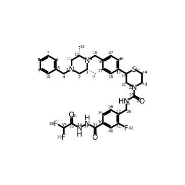 C[C@@H]1CN(Cc2ccccc2)C[C@H](C)N1Cc1ccc(C2CN(C(=O)NCc3ccc(C(=O)NNC(=O)C(F)F)cc3F)CCS2)cc1